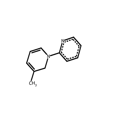 CC1=CC=CN(c2ccccn2)C1